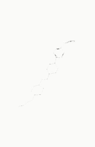 CCCCC1CCC(CCC2CCC(c3ccc(N=C=S)cc3)CC2)CC1